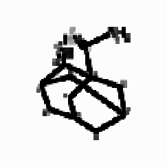 N=C(N)C12CC3CC(CC(C3)C1O)C2